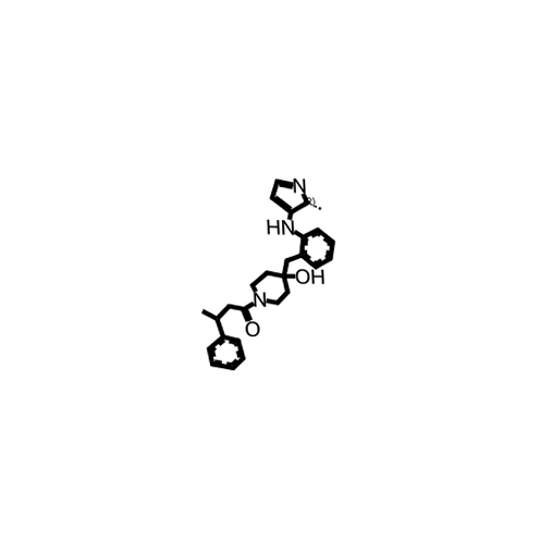 CC(CC(=O)N1CCC(O)(Cc2ccccc2NC2=CC=N[C@@H]2C)CC1)c1ccccc1